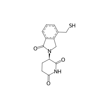 O=C1CC[C@@H](N2Cc3c(CS)cccc3C2=O)C(=O)N1